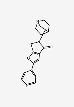 O=C1c2cc(-c3ccncc3)oc2CN1C1CN2CCC1CC2